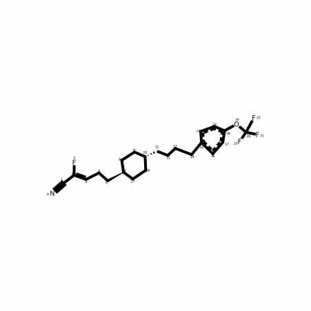 N#CC(F)=CCC[C@H]1CC[C@H](CCCCc2ccc(OC(F)(F)F)cc2)CC1